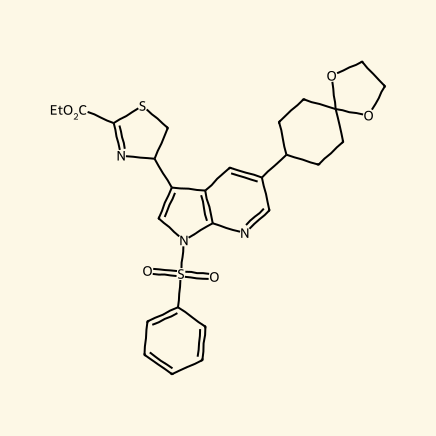 CCOC(=O)C1=NC(c2cn(S(=O)(=O)c3ccccc3)c3ncc(C4CCC5(CC4)OCCO5)cc23)CS1